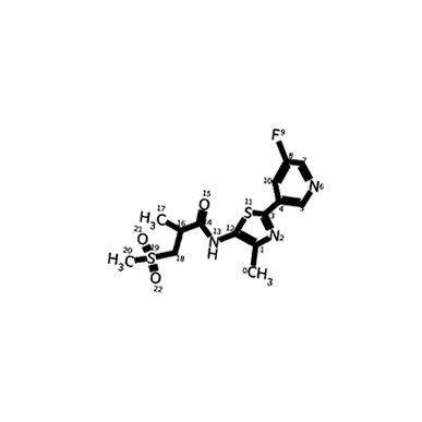 Cc1nc(-c2cncc(F)c2)sc1NC(=O)C(C)CS(C)(=O)=O